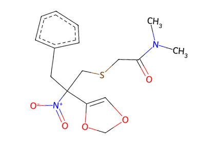 CN(C)C(=O)CSCC(Cc1ccccc1)(C1=COCO1)[N+](=O)[O-]